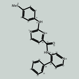 CSc1ccc(Nc2nccc(C(=O)Nc3cnccc3-c3ccccc3)n2)cc1